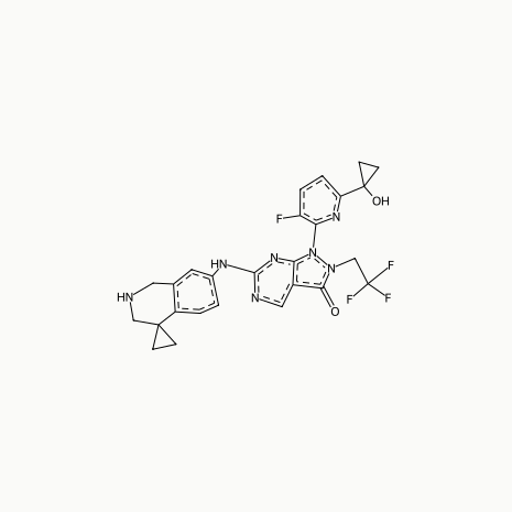 O=c1c2cnc(Nc3ccc4c(c3)CNCC43CC3)nc2n(-c2nc(C3(O)CC3)ccc2F)n1CC(F)(F)F